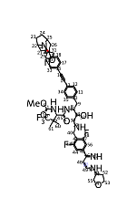 COC(=O)NC(C(=O)N[C@@H](Cc1ccc(C#Cc2ccc(N3CC4CCC(C3)N4C3COC3)nc2)cc1)[C@@H](O)CNCc1c(F)cc(C(=N)/C=C\N[C@H]2CCOC2)cc1F)C(C)(C)C(F)(F)F